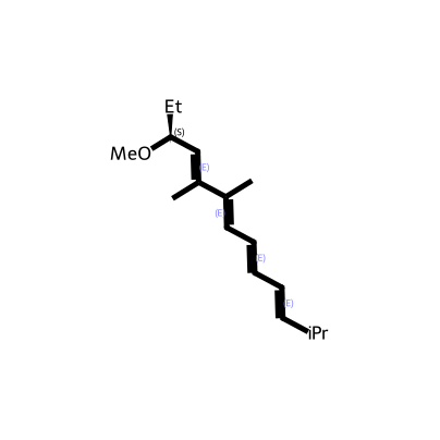 CC[C@@H](/C=C(C)/C(C)=C/C=C/C=C/C(C)C)OC